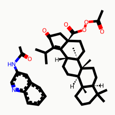 CC(=O)Nc1cnc2ccccc2c1.CC(=O)OOC(=O)[C@@]12CC[C@]3(C)[C@H](CC[C@@H]4[C@@]5(C)CCCC(C)(C)[C@@H]5CC[C@]43C)C1=C(C(C)C)C(=O)C2